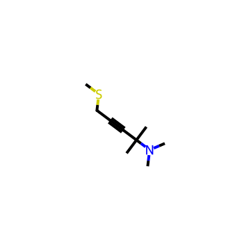 CSCC#CC(C)(C)N(C)C